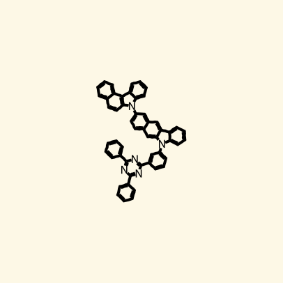 c1ccc(-c2nc(-c3ccccc3)nc(-c3cccc(-n4c5ccccc5c5cc6cc(-n7c8ccccc8c8c9ccccc9ccc87)ccc6cc54)c3)n2)cc1